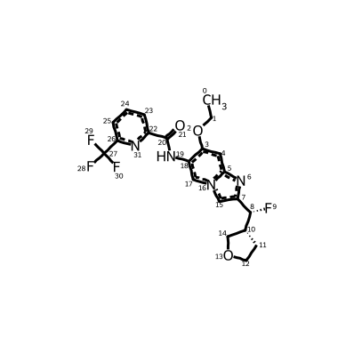 CCOc1cc2nc([C@H](F)[C@@H]3CCOC3)cn2cc1NC(=O)c1cccc(C(F)(F)F)n1